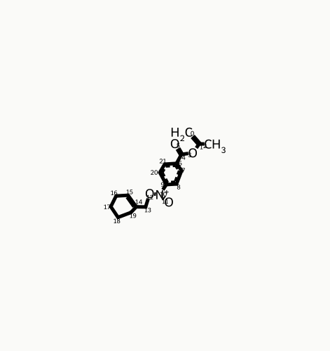 C=C(C)OC(=O)c1ccc([N+](=O)OCC2=CCCCC2)cc1